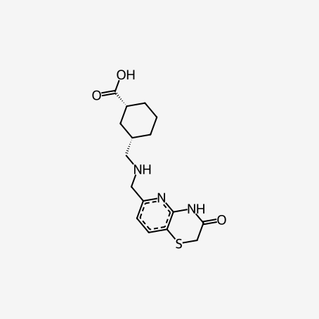 O=C1CSc2ccc(CNC[C@H]3CCC[C@@H](C(=O)O)C3)nc2N1